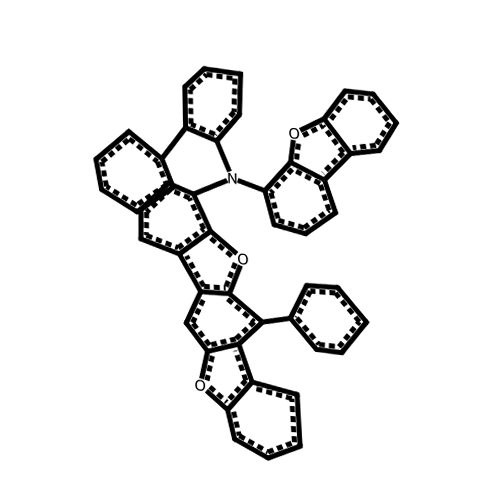 c1ccc(-c2ccccc2N(c2cccc3c2oc2ccccc23)c2cccc3c2oc2c(-c4ccccc4)c4c(cc23)oc2ccccc24)cc1